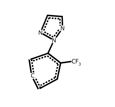 FC(F)(F)c1ccc[c]c1-n1nccn1